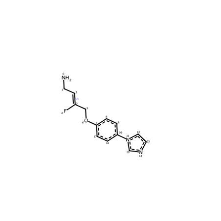 NC/C=C(\F)COc1ccc(-n2ccnc2)cc1